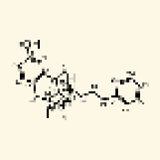 CN1CC[C@@]2(C)c3cc(O)ccc3C[C@@H]1[C@H]2NCCCc1ccccc1